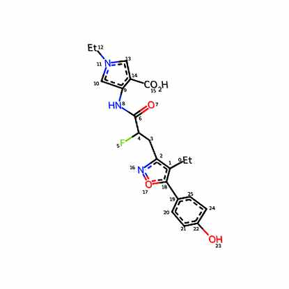 CCc1c(CC(F)C(=O)Nc2cn(CC)cc2C(=O)O)noc1-c1ccc(O)cc1